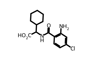 Nc1cc(Cl)ccc1C(=O)NC(C(=O)O)C1CCCCC1